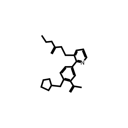 C=C(CCC)CCc1cccnc1-c1ccc(CC2CCCC2)c(C(=C)C)c1